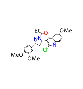 CCC(=O)N1N=C(c2ccc(OC)c(OC)c2)CC1c1cc2cc(OC)ccc2nc1Cl